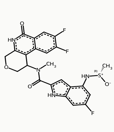 CN(C(=O)c1cc2c(N[S@+](C)[O-])cc(F)cc2[nH]1)C1COCc2[nH]c(=O)c3cc(F)c(F)cc3c21